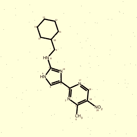 Cc1nc(-c2c[nH]c(NCC3CCCCC3)n2)ncc1[N+](=O)[O-]